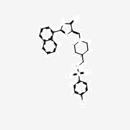 O=C1OC(c2cccc3ccccc23)=NC1=CN1CCC(CNS(=O)(=O)c2ccc(Br)cc2)CC1